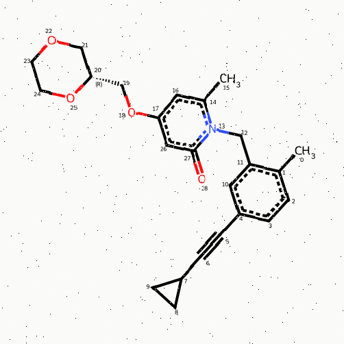 Cc1ccc(C#CC2CC2)cc1Cn1c(C)cc(OC[C@H]2COCCO2)cc1=O